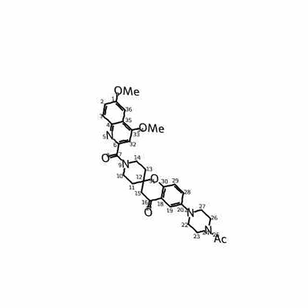 COc1ccc2nc(C(=O)N3CCC4(CC3)CC(=O)c3cc(N5CCN(C(C)=O)CC5)ccc3O4)cc(OC)c2c1